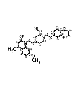 COc1ccc2c(C)cc(=O)n(CCN3CCN(CCc4ccc5c(c4)OCCO5)C(C=O)C3)c2c1